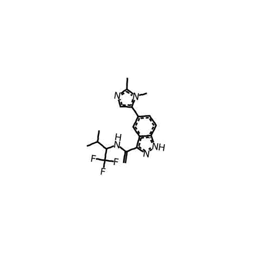 C=C(NC(C(C)C)C(F)(F)F)c1n[nH]c2ccc(-c3cnc(C)n3C)cc12